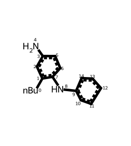 CCCCc1cc(N)ccc1Nc1ccccc1